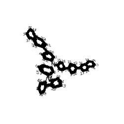 c1cc(N(c2ccc(-c3ccc(-c4ccc5ccccc5c4)cc3)cc2)c2ccc(-c3ccc4ccccc4c3)cc2)cc(-n2c3ccccc3c3ccccc32)c1